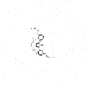 CCCCCCCCCCCCc1cccc(C2=CC=C(c3cccc(CCCCCCCCCCCC)c3)[N+]2=[N-])c1.CCCCCCCCCCC[CH2][Ni][CH2]CCCCCCCCCCC